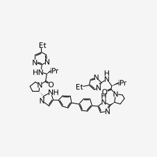 CCc1cnc(N[C@H](C(=O)N2CCC[C@H]2c2ncc(-c3ccc(-c4ccc(-c5cnc([C@@H]6CCCN6C(=O)[C@@H](Nc6ncc(CC)cn6)C(C)C)[nH]5)cc4)cc3)[nH]2)C(C)C)nc1